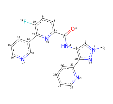 Cn1cc(NC(=O)c2ccc(F)c(-c3cccnc3)n2)c(-c2ccccn2)n1